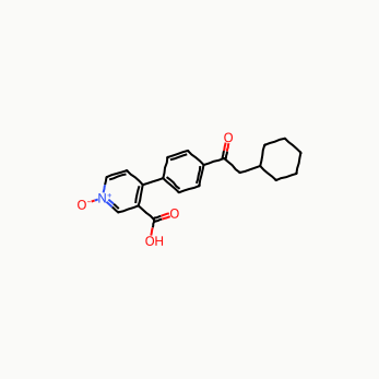 O=C(CC1CCCCC1)c1ccc(-c2cc[n+]([O-])cc2C(=O)O)cc1